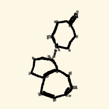 O=C1CCN([C@H]2CCC3=C2CC=CC=C3)CC1